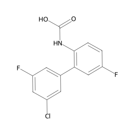 O=C(O)Nc1ccc(F)cc1-c1cc(F)cc(Cl)c1